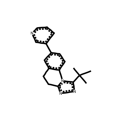 CC(C)(C)c1nnc2n1-c1ccc(-c3cccnc3)cc1CC2